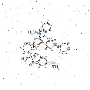 CCC(Cc1ccccc1)(C(=O)c1ccc(N2CCOCC2)cc1)N(C)C.CSc1ccc(C(=O)C(C)(C)N2CCOCC2)cc1